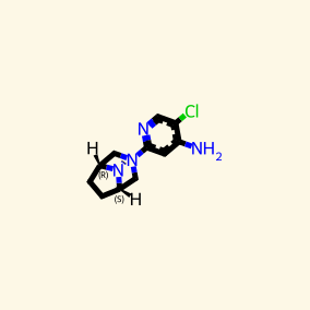 CN1[C@@H]2CC[C@H]1CN(c1cc(N)c(Cl)cn1)C2